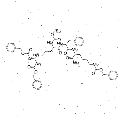 CC(C)(C)OC(=O)N[C@H](CCCN/C(=N\C(=O)OCc1ccccc1)NC(=O)OCc1ccccc1)C(=O)N[C@@H](Cc1ccccc1)C(=O)N[C@@H](CCCCNC(=O)OCc1ccccc1)C(N)=O